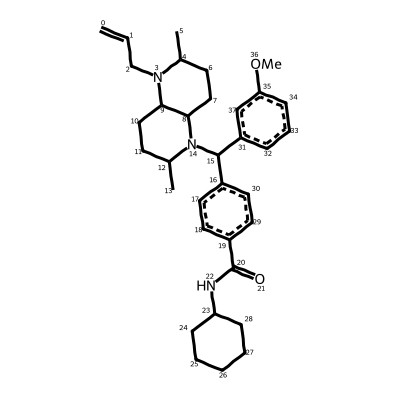 C=CCN1C(C)CCC2C1CCC(C)N2C(c1ccc(C(=O)NC2CCCCC2)cc1)c1cccc(OC)c1